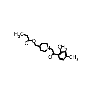 CCC(=O)OCC1CCN(CC(=O)c2ccc(C)cc2C)CC1